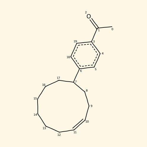 CC(=O)c1ccc(C2CC/C=C\CCCCCC2)cc1